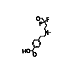 CN(CCc1ccc(C(=O)O)cc1)CCC(F)(F)C=O